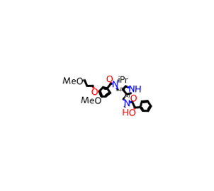 COCCCOc1cc(C(=O)N(C[C@@H]2CNC[C@H]2CN(C)C(=O)C(O)c2ccccc2)C(C)C)ccc1OC